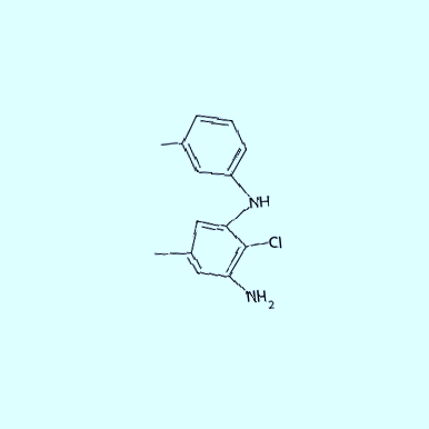 Cc1cccc(Nc2cc(C)cc(N)c2Cl)c1